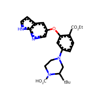 CCOC(=O)c1ccc(N2CCN(C(=O)O)C(C(C)(C)C)C2)cc1Oc1cnc2[nH]ccc2c1